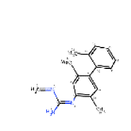 C=N/C(N)=N\c1cc(OC)c(-c2ccccc2C)cc1C